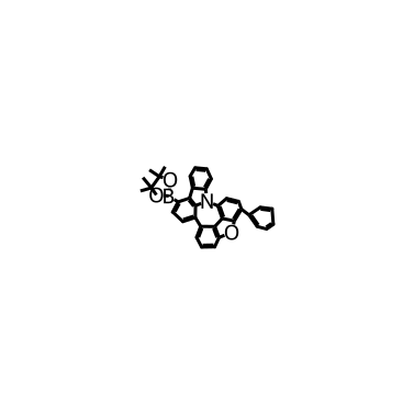 CC1(C)OB(c2ccc3c4cccc5oc6c(-c7ccccc7)ccc(c6c54)n4c5ccccc5c2c34)OC1(C)C